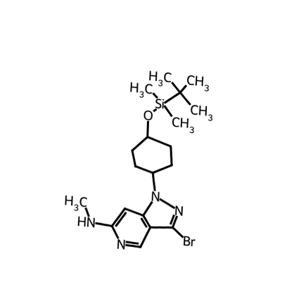 CNc1cc2c(cn1)c(Br)nn2C1CCC(O[Si](C)(C)C(C)(C)C)CC1